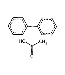 CC(=O)O.c1ccc(-c2ccccc2)cc1